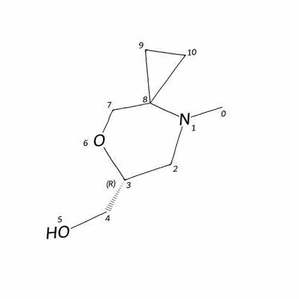 CN1C[C@H](CO)OCC12CC2